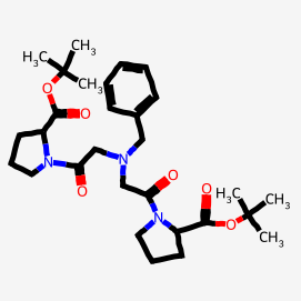 CC(C)(C)OC(=O)C1CCCN1C(=O)CN(CC(=O)N1CCCC1C(=O)OC(C)(C)C)Cc1ccccc1